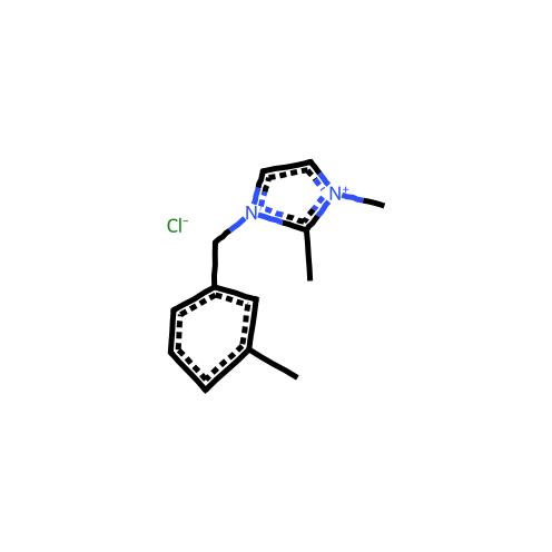 Cc1cccc(Cn2cc[n+](C)c2C)c1.[Cl-]